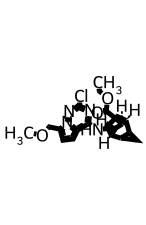 CCOC(=O)[C@@H]1[C@@H](Nc2nc(Cl)nn3c(COC)ccc23)[C@@H]2CC[C@H]1C1CC12